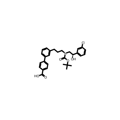 CC(C)(C)OC(=O)N(CCCc1cccc(-c2ccc(C(=O)O)cc2)c1)C[C@H](O)c1cccc(Cl)c1